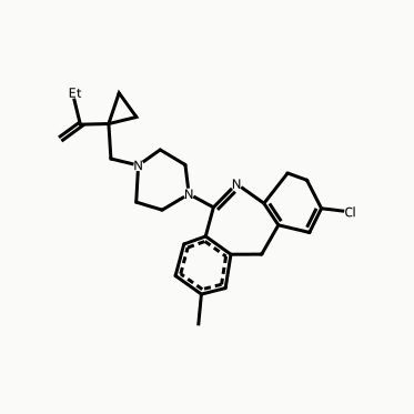 C=C(CC)C1(CN2CCN(C3=NC4=C(C=C(Cl)CC4)Cc4cc(C)ccc43)CC2)CC1